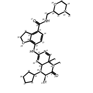 CC[C@@H]1C(=O)N(C)C2(C)C=NC(Nc3ccc(C(=O)NC[C@@H]4CN(C)CCO4)c4c3OCC4)=NC2N1C1CCCC1